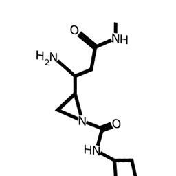 CNC(=O)CC(N)C1CN1C(=O)NC1CCC1